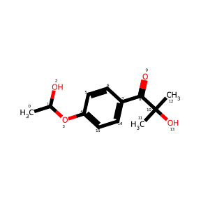 CC(O)Oc1ccc(C(=O)C(C)(C)O)cc1